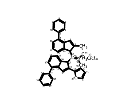 CC1=Cc2c(-c3ccccc3)cccc2[CH]1[Zr+2]([CH]1C(c2ccco2)=Cc2c(-c3ccccc3)cccc21)=[Si](C)C.[Cl-].[Cl-]